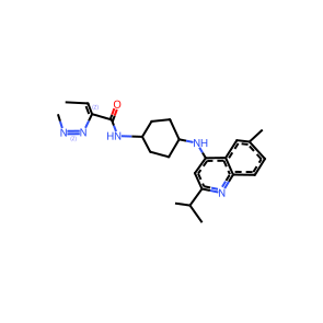 C/C=C(\N=N/C)C(=O)NC1CCC(Nc2cc(C(C)C)nc3ccc(C)cc23)CC1